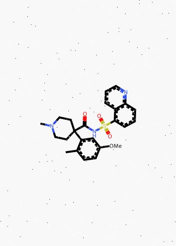 COc1ccc(C)c(C2(C(=O)NS(=O)(=O)c3cccc4ncccc34)CCN(C)CC2)c1